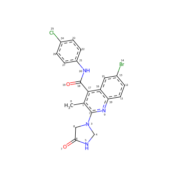 Cc1c(N2CNC(=O)C2)nc2ccc(Br)cc2c1C(=O)Nc1[c]cc(Cl)cc1